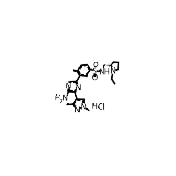 CCN1CCC[C@@H]1CNS(=O)(=O)c1ccc(C)c(-c2cnc(N)c(-c3cn(C)nc3C)n2)c1.Cl